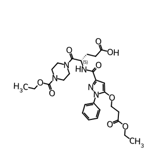 CCOC(=O)CCOc1cc(C(=O)N[C@@H](CCC(=O)O)C(=O)N2CCN(C(=O)OCC)CC2)nn1-c1ccccc1